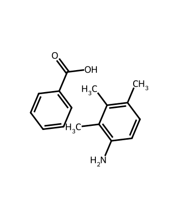 Cc1ccc(N)c(C)c1C.O=C(O)c1ccccc1